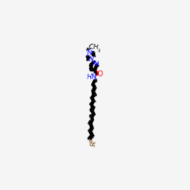 CCN1CCN(c2ccc(C(=O)NCCCCCCCCCCCCCCCCCCBr)cn2)CC1